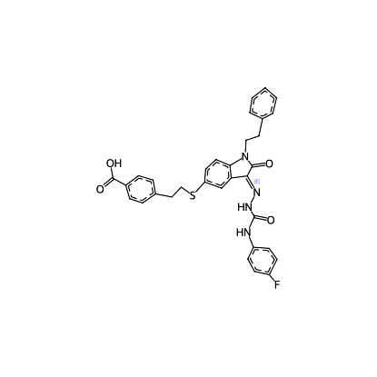 O=C(N/N=C1/C(=O)N(CCc2ccccc2)c2ccc(SCCc3ccc(C(=O)O)cc3)cc21)Nc1ccc(F)cc1